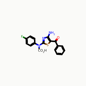 Nc1nc(N(C(=O)O)c2ccc(F)cc2)sc1C(=O)c1ccccc1